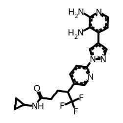 Nc1nccc(-c2cnn(-c3ccc(C(CCC(=O)NC4CC4)C(F)(F)F)cn3)c2)c1N